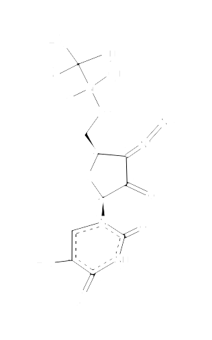 Cc1cn([C@H]2O[C@@H](CO[Si](C)(C)C(C)(C)C)C(=[N+]=[N-])C2=O)c(=O)[nH]c1=O